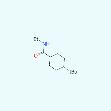 CCNC(=O)C1CCC(C(C)(C)C)CC1